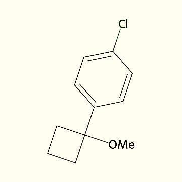 COC1(c2ccc(Cl)cc2)CCC1